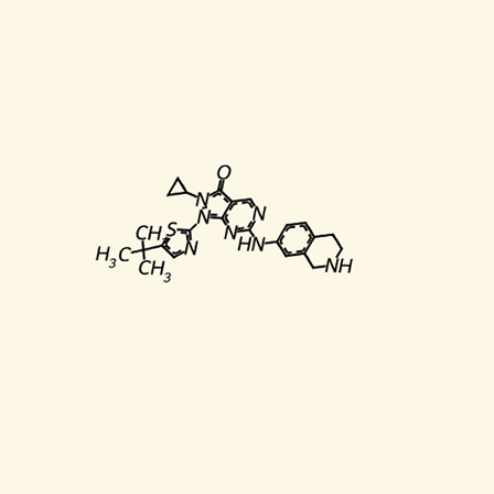 CC(C)(C)c1cnc(-n2c3nc(Nc4ccc5c(c4)CNCC5)ncc3c(=O)n2C2CC2)s1